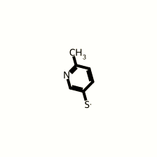 Cc1ccc([S])cn1